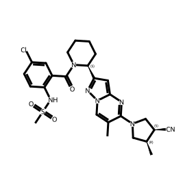 Cc1cn2nc([C@@H]3CCCCN3C(=O)c3cc(Cl)ccc3NS(C)(=O)=O)cc2nc1N1C[C@@H](C#N)[C@@H](C)C1